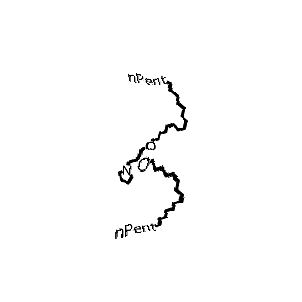 CCCCCC=CCC=CC/C=C\C/C=C\CCCCOCC(CN1CCCC1)OCCCC/C=C\C/C=C\CC=CCC=CCCCCC